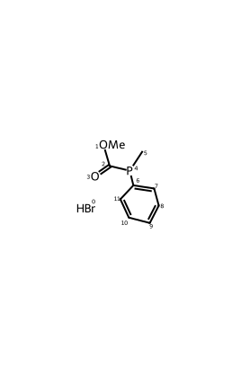 Br.COC(=O)P(C)c1ccccc1